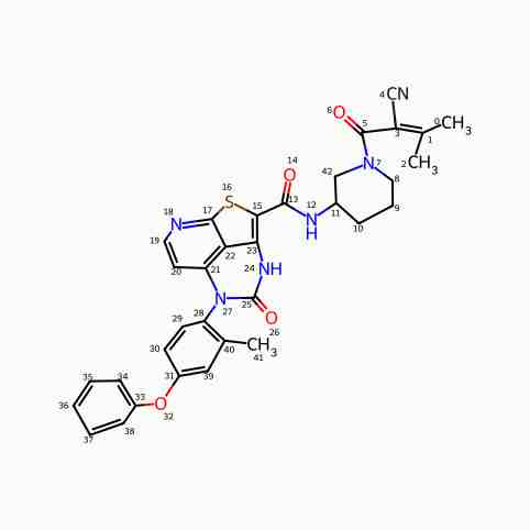 CC(C)=C(C#N)C(=O)N1CCCC(NC(=O)c2sc3nccc4c3c2NC(=O)N4c2ccc(Oc3ccccc3)cc2C)C1